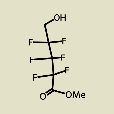 COC(=O)C(F)(F)C(F)(F)C(F)(F)CO